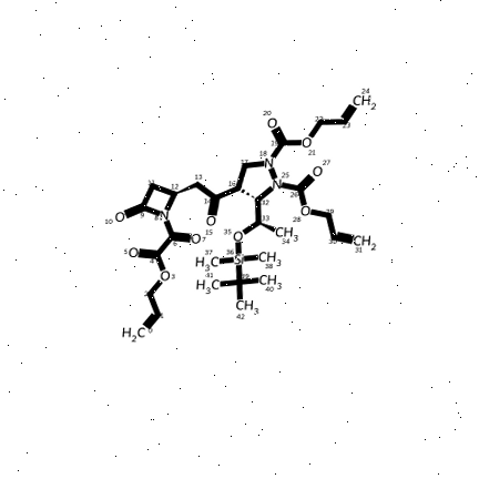 C=CCOC(=O)C(=O)N1C(=O)C[C@H]1CC(=O)C1CN(C(=O)OCC=C)N(C(=O)OCC=C)[C@@H]1[C@@H](C)O[Si](C)(C)C(C)(C)C